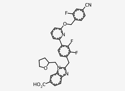 N#Cc1ccc(COc2cccc(-c3ccc(Cc4nc5ccc(C(=O)O)cc5n4CC4CCCO4)c(F)c3F)n2)c(F)c1